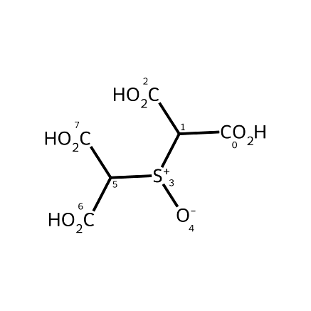 O=C(O)C(C(=O)O)[S+]([O-])C(C(=O)O)C(=O)O